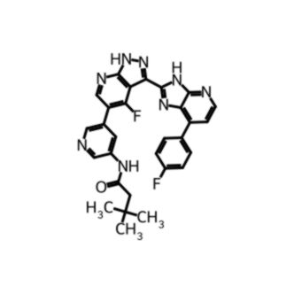 CC(C)(C)CC(=O)Nc1cncc(-c2cnc3[nH]nc(-c4nc5c(-c6ccc(F)cc6)ccnc5[nH]4)c3c2F)c1